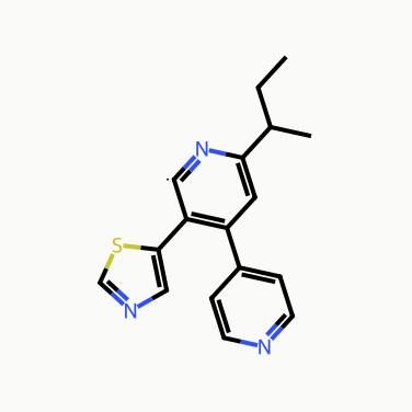 CCC(C)c1cc(-c2ccncc2)c(-c2cncs2)[c]n1